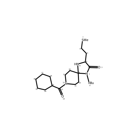 CCCCN1C(=O)C(CCSC)NC12CCN(C(=O)C1CCCCC1)CC2